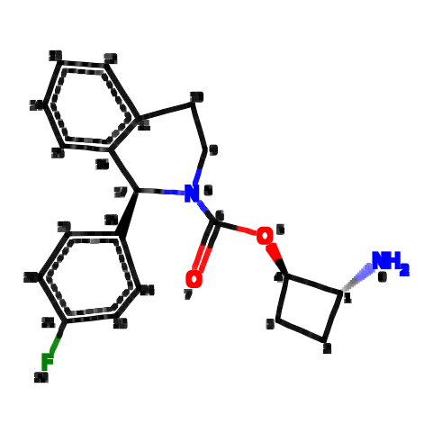 N[C@@H]1CC[C@H]1OC(=O)N1CCc2ccccc2[C@@H]1c1ccc(F)cc1